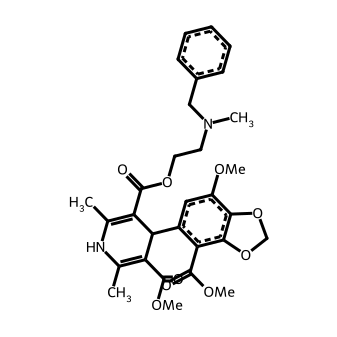 COC(=O)C1=C(C)NC(C)=C(C(=O)OCCN(C)Cc2ccccc2)C1c1cc(OC)c2c(c1C(=O)OC)OCO2